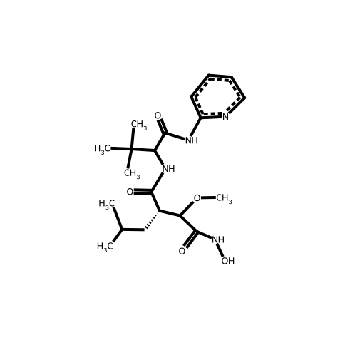 COC(C(=O)NO)[C@H](CC(C)C)C(=O)NC(C(=O)Nc1ccccn1)C(C)(C)C